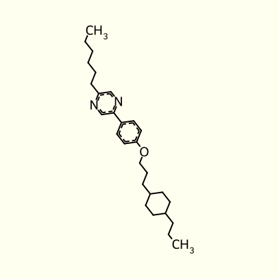 CCCCCCc1cnc(-c2ccc(OCCCC3CCC(CCC)CC3)cc2)cn1